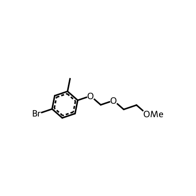 COCCOCOc1ccc(Br)cc1C